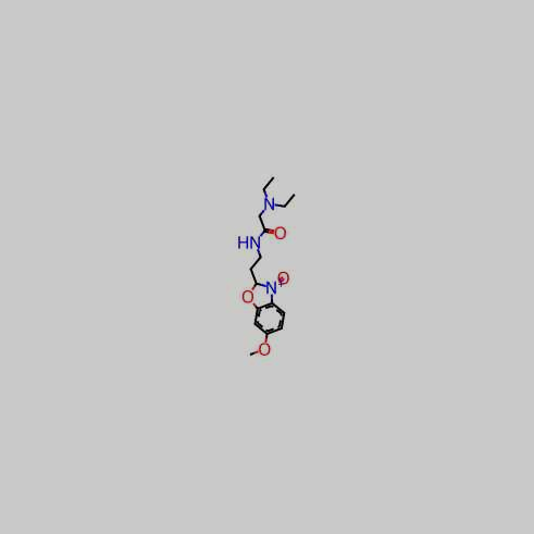 CCN(CC)CC(=O)NCCC1Oc2cc(OC)ccc2[N+]1=O